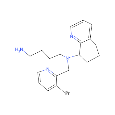 CC(C)c1cccnc1CN(CCCCN)C1CCCc2cccnc21